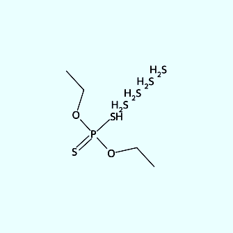 CCOP(=S)(S)OCC.S.S.S.S